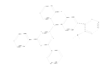 CC1(C)c2ccccc2-c2cc3c(cc21)N(c1nc(-c2ccccc2)nc(-c2ccccc2)n1)c1ccccc1S3